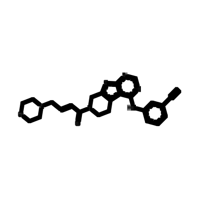 C#Cc1cccc(Nc2ncnc3sc4c(c23)CCN(C(=O)C=CCN2CCOCC2)C4)c1